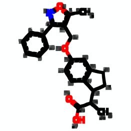 Cc1onc(-c2ccccc2)c1COc1ccc2c(c1)CCC2C(C)C(=O)O